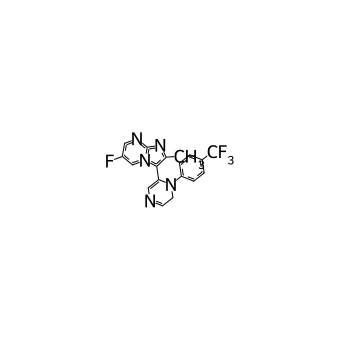 Cc1nc2ncc(F)cn2c1C1=CN=CCN1c1ccc(C(F)(F)F)cc1